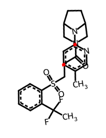 Cc1ccc(N2C3CCC2CN(C(=O)CCS(=O)(=O)c2ccccc2C(C)(F)F)C3)nc1